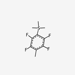 Cc1c(F)c(F)c(S(C)(C)C)c(F)c1F